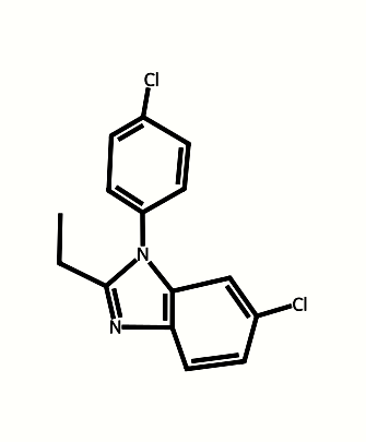 CCc1nc2ccc(Cl)cc2n1-c1ccc(Cl)cc1